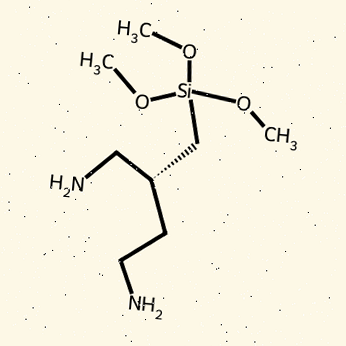 CO[Si](C[C@@H](CN)CCN)(OC)OC